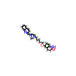 O=C1CCc2cc(OCCCCCN3CCN(Cc4ccc5ccccc5n4)CC3)ccc2N1